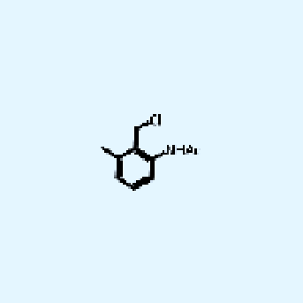 CC(=O)Nc1cccc(C)c1CCl